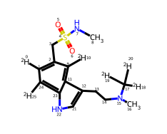 [2H]c1c(CS(=O)(=O)NC)c([2H])c2c(CCN(C)C([2H])([2H])[2H])c[nH]c2c1[2H]